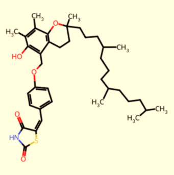 Cc1c(C)c2c(c(COc3ccc(C=C4SC(=O)NC4=O)cc3)c1O)CCC(C)(CCCC(C)CCCC(C)CCCC(C)C)O2